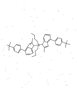 CCCC[Si](CCCC)(C1C(C)=Cc2c(-c3ccc(C(C)(C)C)cc3)cccc21)C1C(C)=Cc2c(-c3ccc(C(C)(C)C)cc3)cccc21